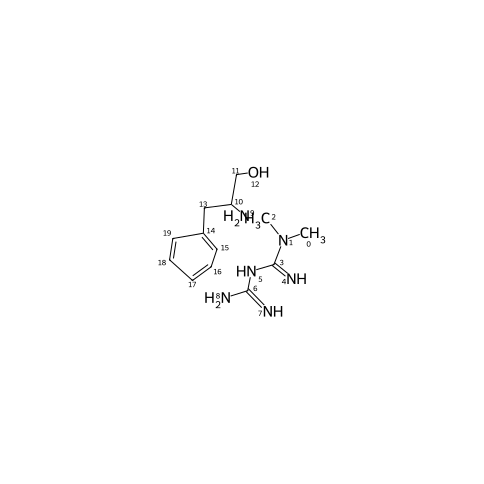 CN(C)C(=N)NC(=N)N.NC(CO)Cc1ccccc1